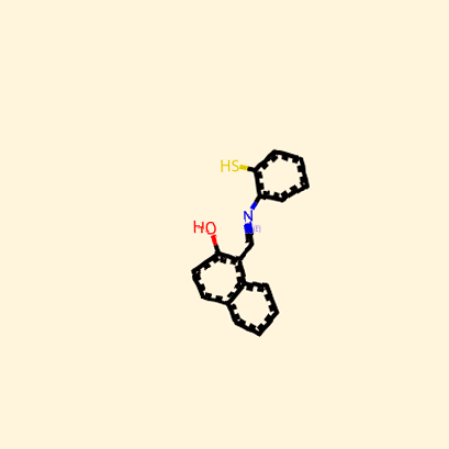 Oc1ccc2ccccc2c1/C=N/c1ccccc1S